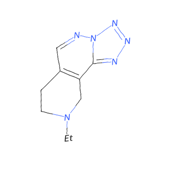 CCN1CCc2cnn3nnnc3c2C1